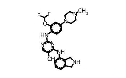 Cc1cnc(Nc2ccc(N3CCN(C)CC3)cc2OC(F)F)nc1Nc1cccc2c1CNC2